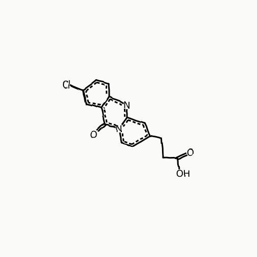 O=C(O)CCc1ccn2c(=O)c3cc(Cl)ccc3nc2c1